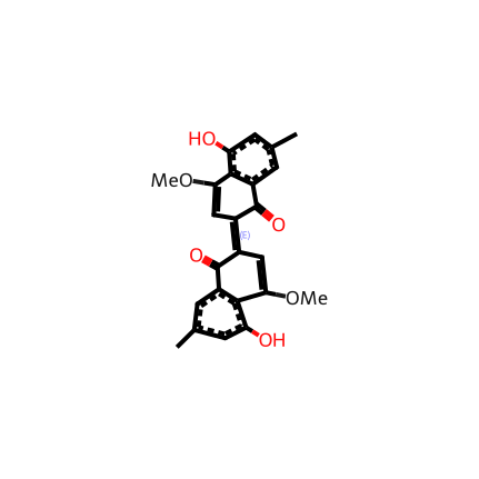 COC1=C/C(=C2/C=C(OC)c3c(O)cc(C)cc3C2=O)C(=O)c2cc(C)cc(O)c21